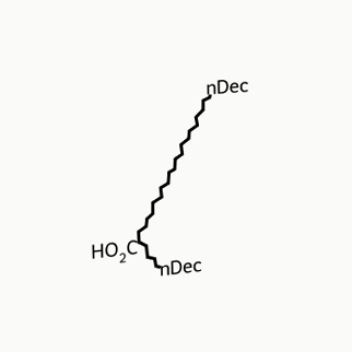 CCCCCCCCCCCCCCCCCCCCCCCCCCCCCCC(CCCCCCCCCCCCCC)C(=O)O